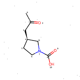 CC(=O)C[C@@H]1CCN(C(=O)O)C1